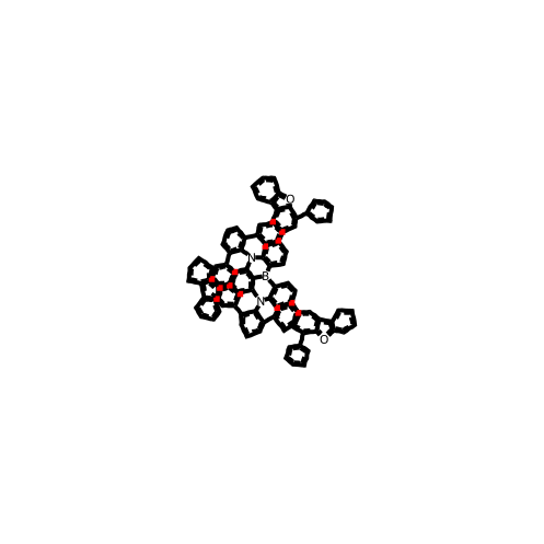 c1ccc(-c2cccc(-c3ccccc3)c2N2c3cc(-c4cc(-c5ccccc5)c5oc6ccccc6c5c4)ccc3B3c4ccc(-c5cc(-c6ccccc6)c6oc7ccccc7c6c5)cc4N(c4c(-c5ccccc5)cccc4-c4ccccc4)c4cc(-n5c6ccccc6c6ccccc65)cc2c43)cc1